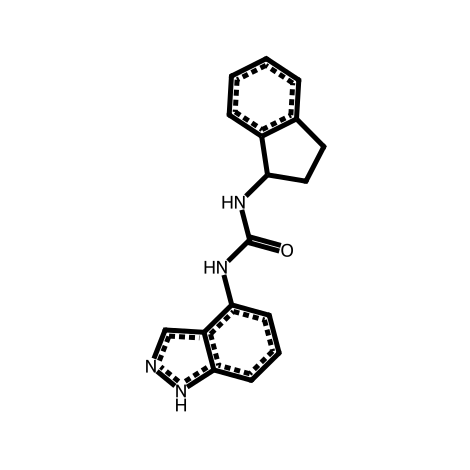 O=C(Nc1cccc2[nH]ncc12)NC1CCc2ccccc21